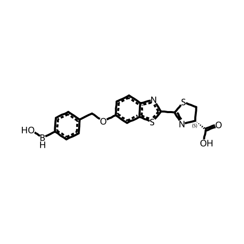 O=C(O)[C@H]1CSC(c2nc3ccc(OCc4ccc(BO)cc4)cc3s2)=N1